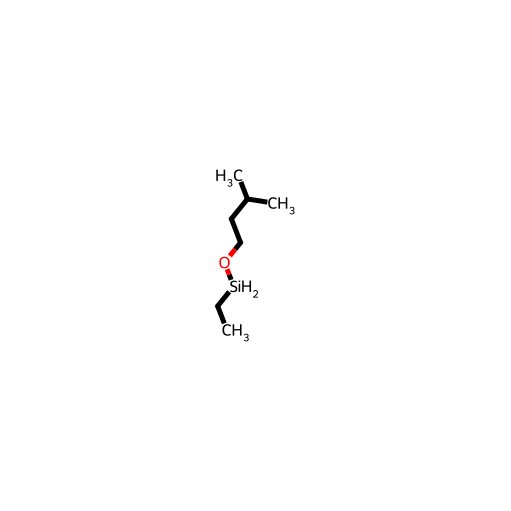 CC[SiH2]OCCC(C)C